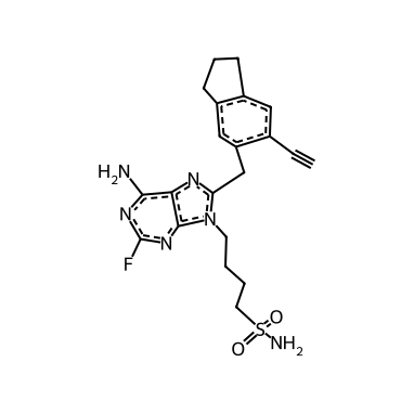 C#Cc1cc2c(cc1Cc1nc3c(N)nc(F)nc3n1CCCCS(N)(=O)=O)CCC2